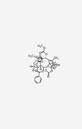 COC(=O)O[C@H]1C(=O)[C@]2(C)[C@@H](OC)C[C@H]3OC[C@@]3(OC(C)=O)[C@H]2[C@H](OC(=O)c2ccccc2)[C@]23OC(=O)O[C@H]2[C@H](O)C(C)=C1C3(C)C